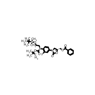 CC(C)(C)OC(=O)N(CCO[Si](C)(C)C(C)(C)C)c1ccc(N2C[C@H](COC(=O)c3ccccc3)OC2=O)cc1F